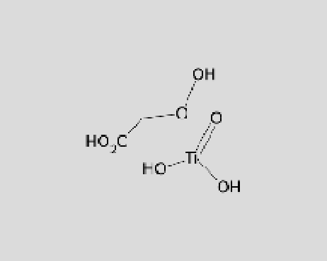 O=C(O)COO.[O]=[Ti]([OH])[OH]